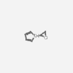 C1=C[SH](C2CO2)C=C1